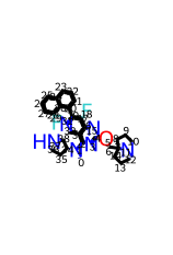 CN(c1nc(OCC23CCCN2CCC3)nc2c(F)c(-c3cccc4cccc(F)c34)ncc12)[C@@H]1CCNC1